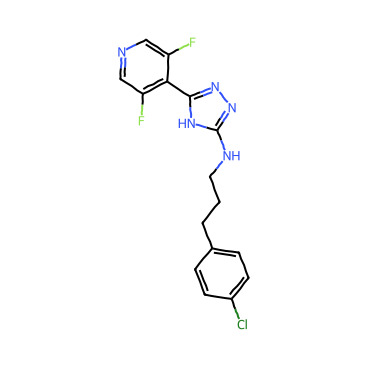 Fc1cncc(F)c1-c1nnc(NCCCc2ccc(Cl)cc2)[nH]1